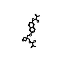 C=C(C)C(=O)OCC1(COc2ccc3cc(OC(=O)C(=C)C)ccc3c2)COC1